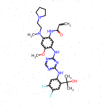 C=CC(=O)Nc1cc(Nc2ncnc(Nc3cc(F)c(F)cc3C(C)(C)O)n2)c(OC)cc1N(C)CCN1CCCC1